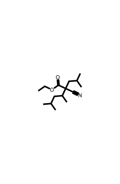 CCOC(=O)C(C#N)(CC(C)C)C(C)CC(C)C